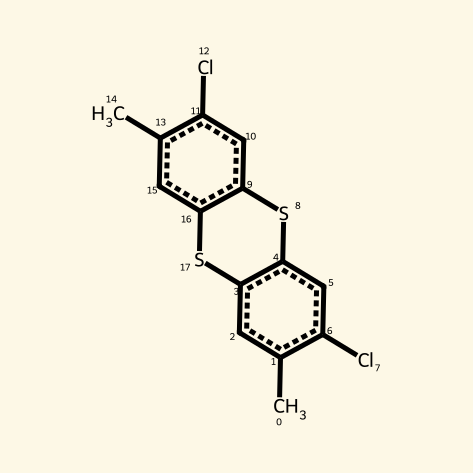 Cc1cc2c(cc1Cl)Sc1cc(Cl)c(C)cc1S2